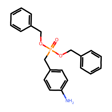 Nc1ccc(CP(=O)(OCc2ccccc2)OCc2ccccc2)cc1